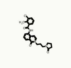 Cc1c(Cl)cccc1C(=O)Nc1cccc2c(=O)n(CCCN3CCCC3=O)ccc12